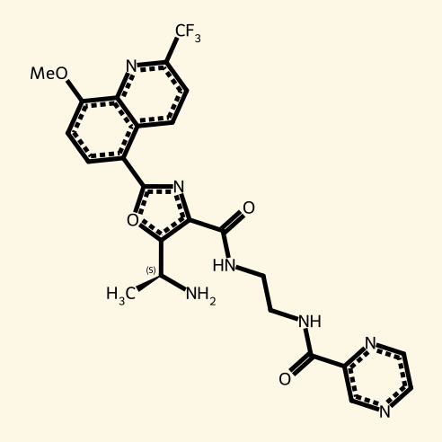 COc1ccc(-c2nc(C(=O)NCCNC(=O)c3cnccn3)c([C@H](C)N)o2)c2ccc(C(F)(F)F)nc12